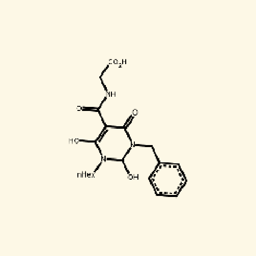 CCCCCCN1C(O)=C(C(=O)NCC(=O)O)C(=O)N(Cc2ccccc2)C1O